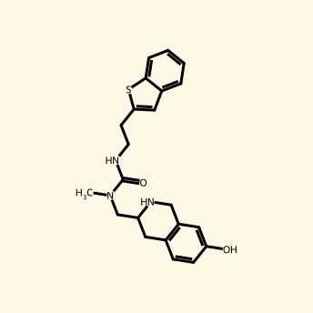 CN(CC1Cc2ccc(O)cc2CN1)C(=O)NCCc1cc2ccccc2s1